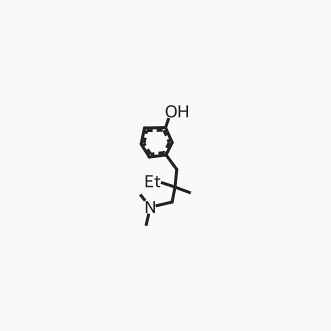 CCC(C)(Cc1cccc(O)c1)CN(C)C